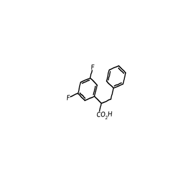 O=C(O)C(Cc1ccccc1)c1cc(F)cc(F)c1